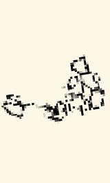 O=C(O[C@H]1C[N+]2(CCCc3cccs3)CCC1CC2)C1(O)c2ccccc2Oc2ccccc21